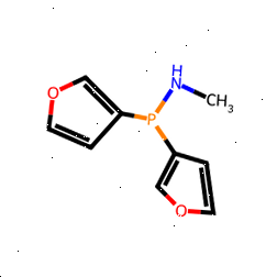 CNP(c1ccoc1)c1ccoc1